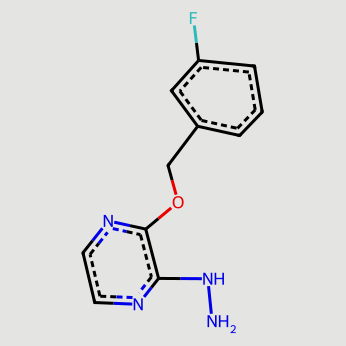 NNc1nccnc1OCc1cccc(F)c1